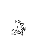 COc1cc(Nc2nc(Nc3cc(F)cc(C(C)(C)O)c3)c3c(C)csc3n2)ccc1N1CCC(N(C)C)CC1